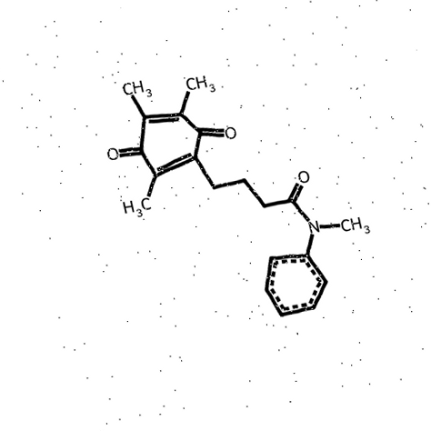 CC1=C(C)C(=O)C(CCCC(=O)N(C)c2ccccc2)=C(C)C1=O